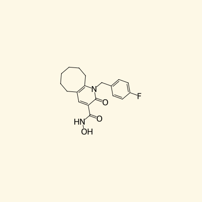 O=C(NO)c1cc2c(n(Cc3ccc(F)cc3)c1=O)CCCCCC2